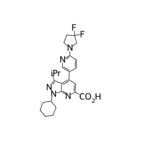 CC(C)c1nn(C2CCCCC2)c2nc(C(=O)O)cc(-c3ccc(N4CCC(F)(F)C4)nc3)c12